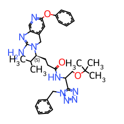 CC(C)[C@H](CCC(=O)NC(COC(C)(C)C)c1nnnn1Cc1ccccc1)N1Cc2cc(Oc3ccccc3)ncc2N=C1N